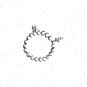 [Al+2][CH]1CCCCCCCCCCCCCCCCCCC1.[H-].[H-]